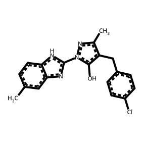 Cc1ccc2[nH]c(-n3nc(C)c(Cc4ccc(Cl)cc4)c3O)nc2c1